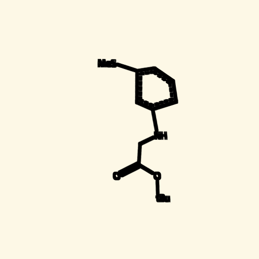 CSc1cccc(NCC(=O)OC(C)(C)C)c1